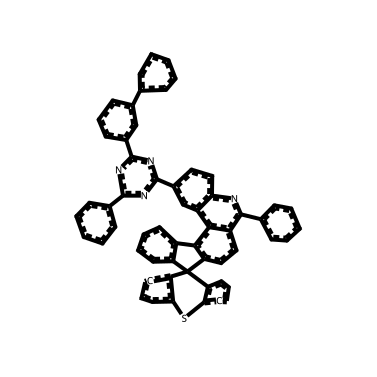 c1ccc(-c2cccc(-c3nc(-c4ccccc4)nc(-c4ccc5nc(-c6ccccc6)c6ccc7c(c6c5c4)-c4ccccc4C74c5ccccc5Sc5ccccc54)n3)c2)cc1